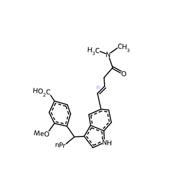 CCCC(c1ccc(C(=O)O)cc1OC)c1c[nH]c2ccc(/C=C/CC(=O)N(C)C)cc12